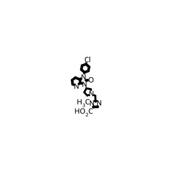 Cn1c(C(=O)O)cnc1CN1CC[C@H](n2c(=O)n(-c3ccc(Cl)cc3)c3cccnc32)C1